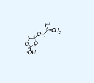 C=C(F)COC1COC(O)O1